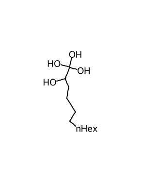 CCCCCCCCCCC(O)C(O)(O)O